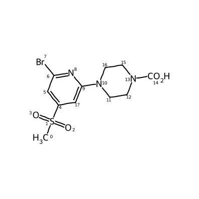 CS(=O)(=O)c1cc(Br)nc(N2CCN(C(=O)O)CC2)c1